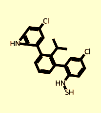 CC(C)c1c(-c2cc(Cl)ccc2NS)cccc1-c1cc(Cl)cc2c1N2